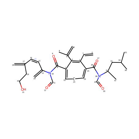 C=CC1=C(C(=C)C)C(C(=O)N(C=O)C(=C)/C=C\C(=C)CCO)=CCC=C1C(=O)N(C=O)C(C)CC(C)C